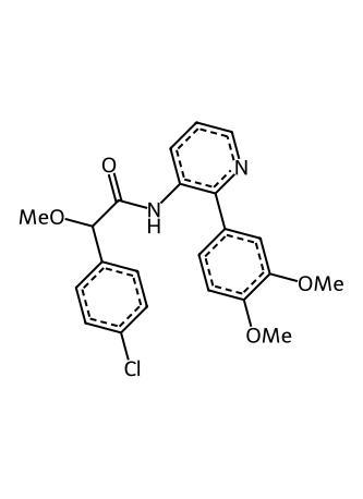 COc1ccc(-c2ncccc2NC(=O)C(OC)c2ccc(Cl)cc2)cc1OC